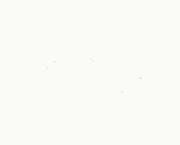 C=C1NC(c2cc(C)c(C)c(C)c2)=Nc2ccc(CC)cc21